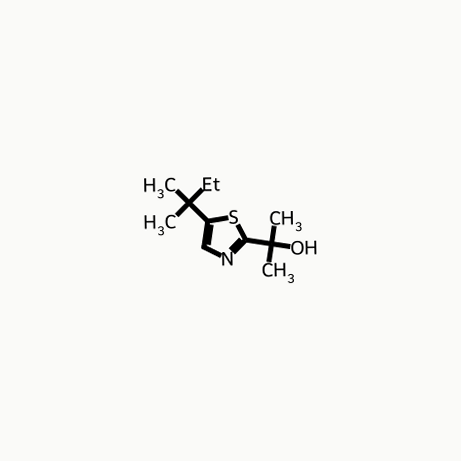 CCC(C)(C)c1cnc(C(C)(C)O)s1